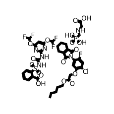 CCCCCOC(=O)COc1cc(N2C(=O)C3=C(CCCC3)C2=O)c(F)cc1Cl.O=C(Nc1nc(OC(F)F)cc(OC(F)F)n1)NS(=O)(=O)c1ccccc1C(=O)O.O=C(O)CNCP(=O)(O)O